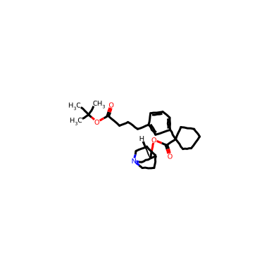 CC(C)(C)OC(=O)CCCc1cccc(C2(C(=O)O[C@H]3CN4CCC3CC4)CCCCC2)c1